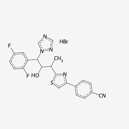 Br.CC(c1nc(-c2ccc(C#N)cc2)cs1)C(O)C(c1cc(F)ccc1F)n1cncn1